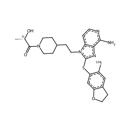 C[C@H](O)C(=O)N1CCC(CCn2c(Sc3cc4c(cc3[124I])CCO4)nc3c(N)nccc32)CC1